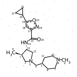 C[C@@H]1CN(CC2CCN(C)CC2)C[C@H]1NC(=O)c1cc(C2CC2)on1